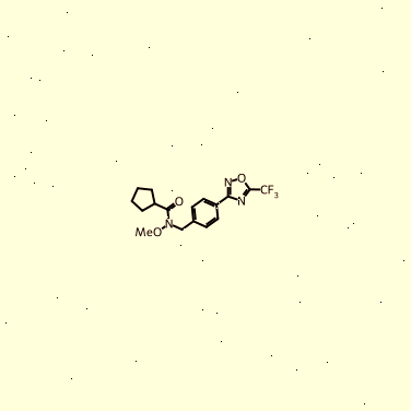 CON(Cc1ccc(-c2noc(C(F)(F)F)n2)cc1)C(=O)C1CCCC1